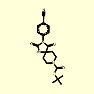 CC(C)(C)OC(=O)N1CCC2(CC1)NC(=O)N(c1ccc(C#N)cc1)C2=O